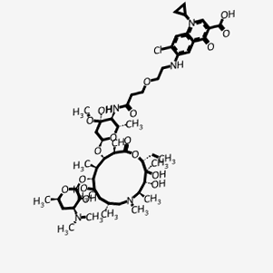 CC[C@H]1OC(=O)[C@H](C)[C@@H](O[C@H]2C[C@@](O)(OC)[C@@H](NC(=O)CCOCCNc3cc4c(=O)c(C(=O)O)cn(C5CC5)c4cc3Cl)[C@H](C)O2)[C@H](C)[C@@H](O[C@@H]2O[C@H](C)C[C@H](N(C)C)[C@H]2O)[C@](C)(O)C[C@@H](C)CN(C)[C@H](C)[C@@H](O)[C@]1(C)O